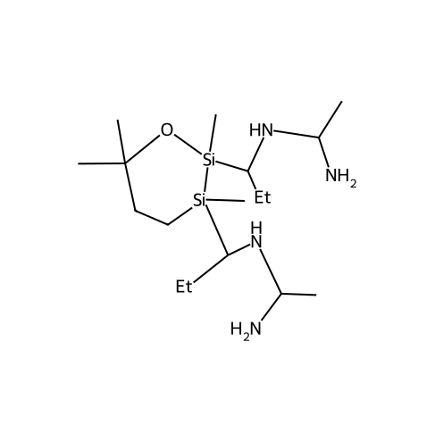 CCC(NC(C)N)[Si]1(C)CCC(C)(C)O[Si]1(C)C(CC)NC(C)N